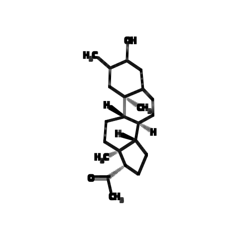 CC(=O)[C@H]1CC[C@H]2[C@@H]3CCC4CC(O)C(C)C[C@]4(C)[C@H]3CC[C@]12C